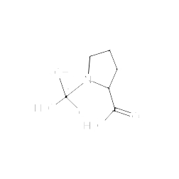 CC(=O)C1CCCN1C(C)(C)C